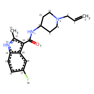 C=CCN1CCC(NC(=O)c2c(C)[nH]c3ccc(F)cc23)CC1